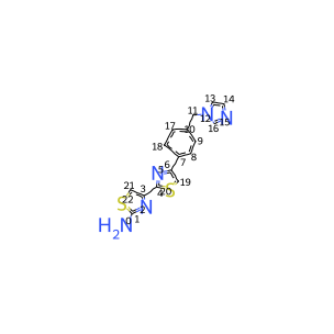 Nc1nc(-c2nc(-c3ccc(Cn4ccnc4)cc3)cs2)cs1